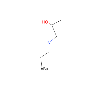 [CH2]CCCCC[N]CC(C)O